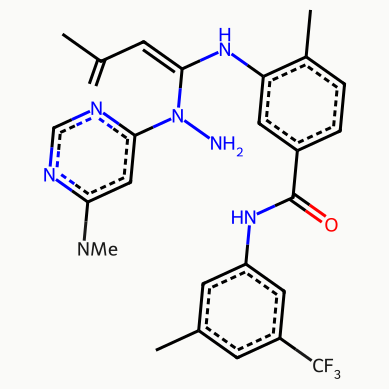 C=C(C)/C=C(/Nc1cc(C(=O)Nc2cc(C)cc(C(F)(F)F)c2)ccc1C)N(N)c1cc(NC)ncn1